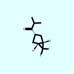 CC(C)C(=O)[C@H]1C[C@@H]2[C@H](C1)C2(F)F